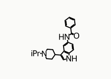 CC(C)N1CCC(c2c[nH]c3ccc(NC(=O)c4ccccc4)cc23)CC1